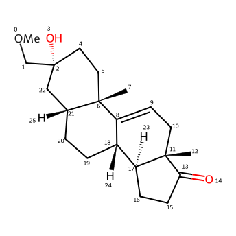 COC[C@@]1(O)CC[C@]2(C)C3=CC[C@]4(C)C(=O)CC[C@H]4[C@@H]3CC[C@@H]2C1